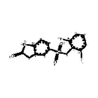 O=C1Cc2cc(S(=O)(=O)Cc3c(F)cccc3F)ccc2N1